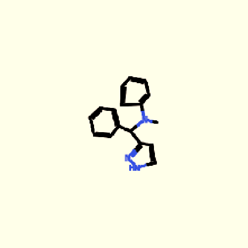 CN([C](c1ccccc1)c1cc[nH]n1)c1ccccc1